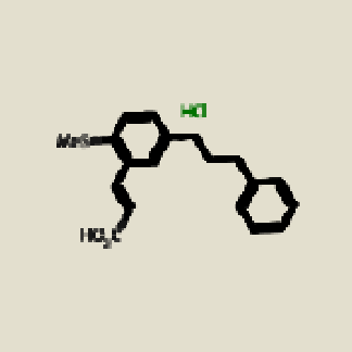 CSc1ccc(CCCc2ccccc2)cc1C=CC(=O)O.Cl